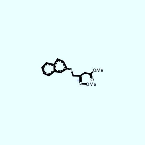 CO/N=C(/CSc1ccc2ccccc2c1)CC(=O)OC